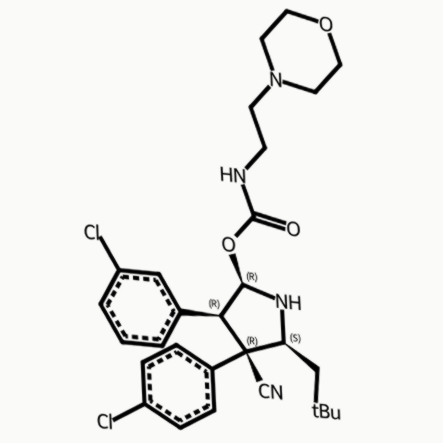 CC(C)(C)C[C@@H]1N[C@H](OC(=O)NCCN2CCOCC2)[C@H](c2cccc(Cl)c2)[C@@]1(C#N)c1ccc(Cl)cc1